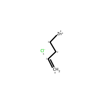 C=CC[CH2][Zn+].[Cl-]